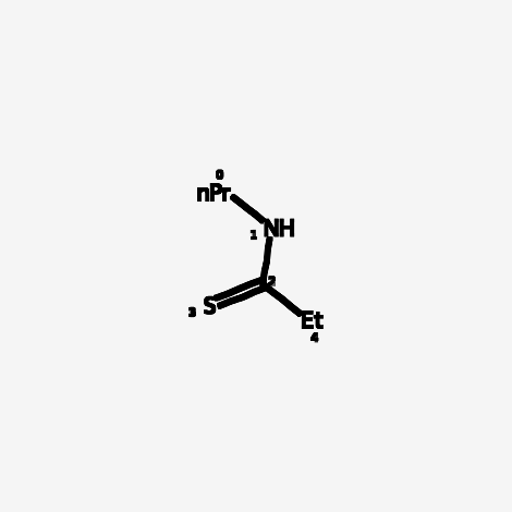 CCCNC(=S)CC